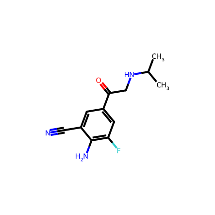 CC(C)NCC(=O)c1cc(F)c(N)c(C#N)c1